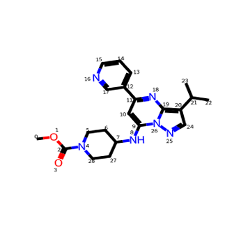 COC(=O)N1CCC(Nc2cc(-c3cccnc3)nc3c(C(C)C)cnn23)CC1